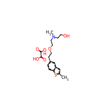 Cc1cc2cc(CCOCCN(C)CCO)ccc2s1.O=C(O)C(=O)O